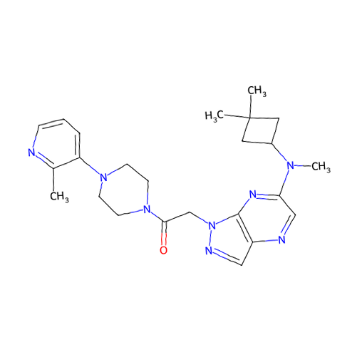 Cc1ncccc1N1CCN(C(=O)Cn2ncc3ncc(N(C)C4CC(C)(C)C4)nc32)CC1